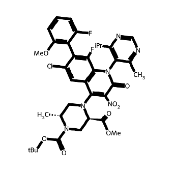 COC(=O)[C@H]1CN(C(=O)OC(C)(C)C)[C@H](C)CN1c1c([N+](=O)[O-])c(=O)n(-c2c(C)ncnc2C(C)C)c2c(F)c(-c3c(F)cccc3OC)c(Cl)cc12